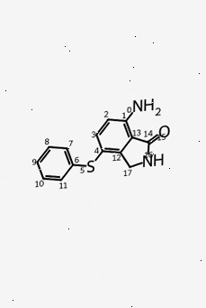 Nc1ccc(Sc2ccccc2)c2c1C(=O)NC2